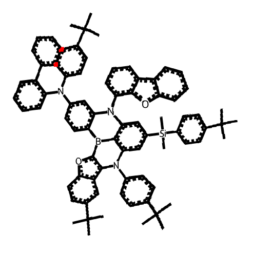 CC(C)(C)c1ccc(N(c2ccc3c(c2)N(c2cccc4c2oc2ccccc24)c2cc([Si](C)(C)c4ccc(C(C)(C)C)cc4)cc4c2B3c2oc3ccc(C(C)(C)C)cc3c2N4c2ccc(C(C)(C)C)cc2)c2ccccc2-c2ccccc2)cc1